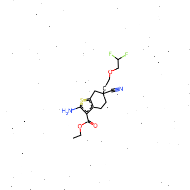 CCOC(=O)c1c(N)sc2c1CCC(C#N)(CCOCC(F)F)C2